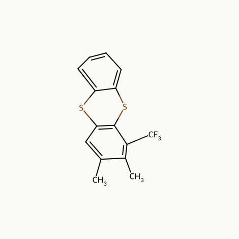 Cc1cc2c(c(C(F)(F)F)c1C)Sc1ccccc1S2